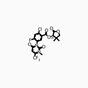 Cn1c(C(F)(F)F)cc(=O)n(-c2cc(C(=O)O[C@H]3C(=O)OCC3(C)C)c(Cl)cc2F)c1=O